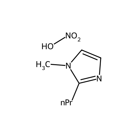 CCCc1nccn1C.O=[N+]([O-])O